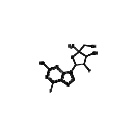 CC1(CO)OC(n2cnc3c(F)nc(O)nc32)C(F)C1O